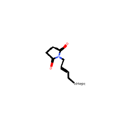 CCCCCCCC/C=C/CN1C(=O)CCC1=O